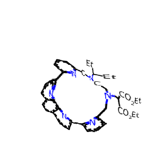 CCOC(=O)C(C(=O)OCC)N1CCN(C(CC)CC)Cc2cccc(n2)-c2ccc3ccc4ccc(nc4c3n2)-c2cccc(n2)C1